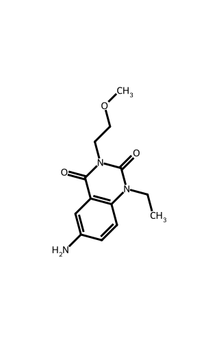 CCn1c(=O)n(CCOC)c(=O)c2cc(N)ccc21